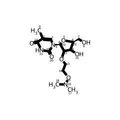 Cc1cn([C@H]2O[C@@H](CO)C(O)C2OCCON(C)C)c(=O)[nH]c1=O